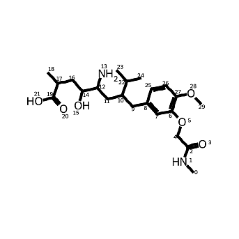 CNC(=O)COc1cc(CC(CC(N)C(O)CC(C)C(=O)O)C(C)C)ccc1OC